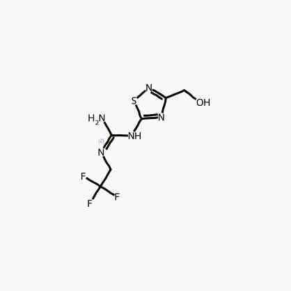 N/C(=N/CC(F)(F)F)Nc1nc(CO)ns1